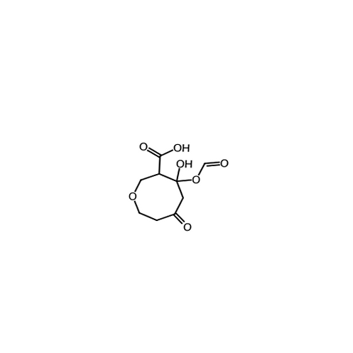 O=COC1(O)CC(=O)CCOCC1C(=O)O